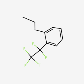 [CH2]CCc1ccccc1C(F)(F)C(F)(F)F